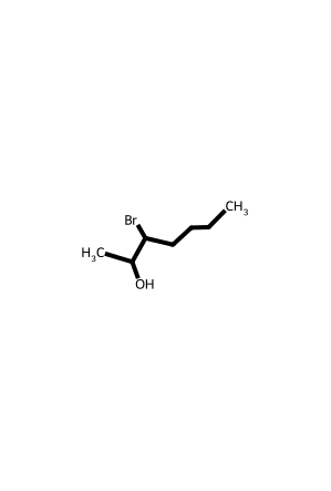 CCCCC(Br)C(C)O